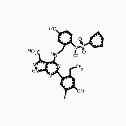 CCN(c1ccc(O)cc1CNc1nc(-c2cc(F)c(O)cc2CC(F)(F)F)nc2[nH]nc(C(=O)O)c12)S(=O)(=O)c1ccccc1